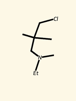 CCN(C)CC(C)(C)CCl